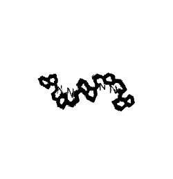 c1ccc2c(-c3ccc4ccc5ccc(-c6cccc7c(-c8ccc9ccc%10ccc(-c%11cccc%12ccccc%11%12)nc%10c9n8)cccc67)nc5c4n3)cccc2c1